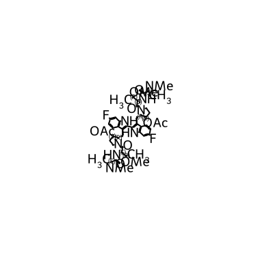 CN[C@@H](C)C(=O)N[C@H](C(=O)N1CC[C@H](OC(C)=O)[C@H]1Cc1c(-c2[nH]c3cc(F)ccc3c2C[C@@H]2[C@@H](OC(C)=O)CCN2C(=O)[C@@H](NC(=O)[C@H](C)NC)[C@@H](C)OC)[nH]c2cc(F)ccc12)[C@@H](C)OC